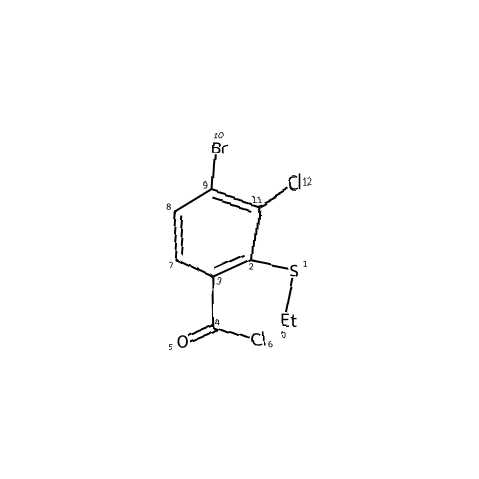 CCSc1c(C(=O)Cl)ccc(Br)c1Cl